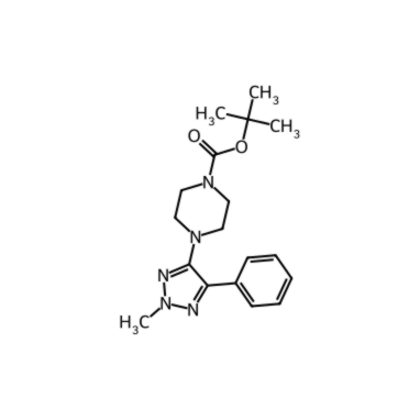 Cn1nc(-c2ccccc2)c(N2CCN(C(=O)OC(C)(C)C)CC2)n1